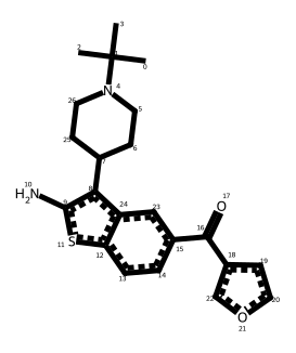 CC(C)(C)N1CCC(c2c(N)sc3ccc(C(=O)c4ccoc4)cc23)CC1